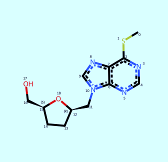 CSc1ncnc2c1ncn2C[C@H]1CC[C@@H](CO)O1